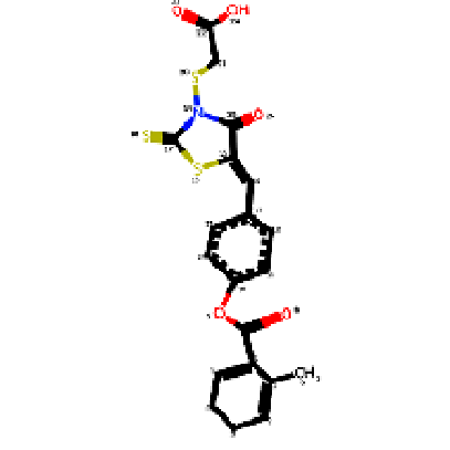 CC1=CCCC=C1C(=O)Oc1ccc(/C=C2\SC(=S)N(SCC(=O)O)C2=O)cc1